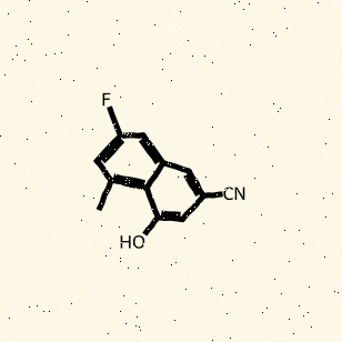 Cc1cc(F)cc2cc(C#N)cc(O)c12